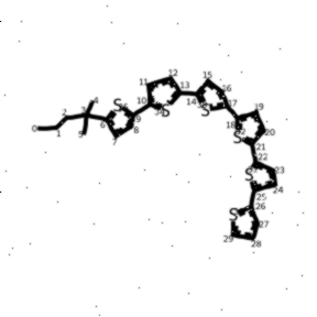 CCCC(C)(C)c1ccc(-c2ccc(-c3ccc(-c4ccc(-c5ccc(-c6cccs6)s5)s4)s3)s2)s1